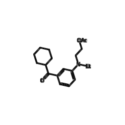 CCN(CCOC(C)=O)c1cccc(C(=O)C2CCCCC2)c1